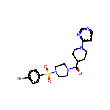 O=C(C1CCN(c2ccncn2)CC1)N1CCN(S(=O)(=O)c2ccc(Br)cc2)CC1